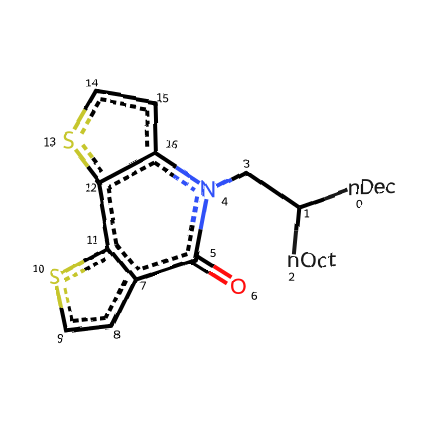 CCCCCCCCCCC(CCCCCCCC)Cn1c(=O)c2ccsc2c2sccc21